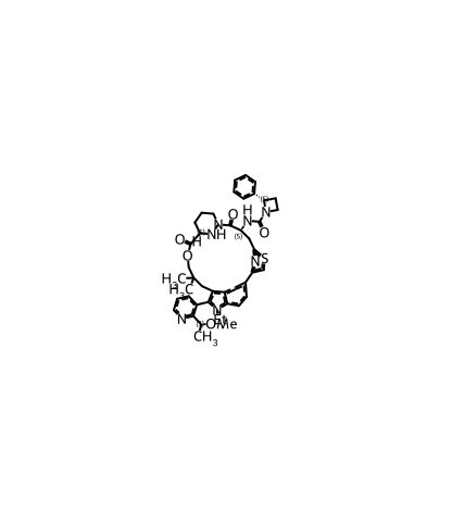 CCn1c(-c2cccnc2[C@H](C)OC)c2c3cc(ccc31)-c1csc(n1)C[C@H](NC(=O)N1CC[C@H]1c1ccccc1)C(=O)N1CCC[C@H](N1)C(=O)OCC(C)(C)C2